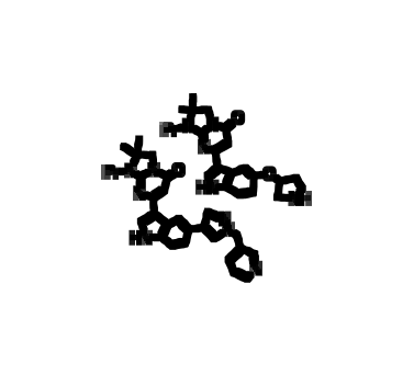 CC(C)N1c2nc(-c3c[nH]c4ccc(-c5cnn(Cc6cccnc6)c5)cc34)cc(=O)n2CC1(C)C.CC(C)N1c2nc(-c3c[nH]c4ccc(OC5CCNC5)cc34)cc(=O)n2CC1(C)C